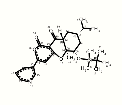 CC(C)[C@@H]1C[C@H](O[Si](C)(C)C(C)(C)C)[C@@]2(C)Oc3cc(-c4cccnc4)oc(=O)c3C(=O)[C@@H]2C1